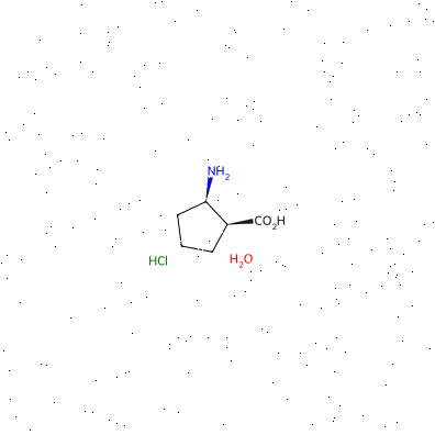 Cl.N[C@@H]1CCC[C@@H]1C(=O)O.O